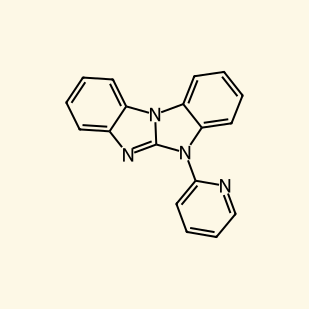 c1ccc(-n2c3ccccc3n3c4ccccc4nc23)nc1